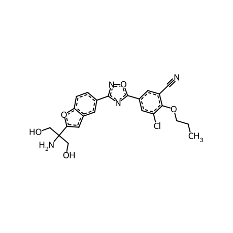 CCCOc1c(Cl)cc(-c2nc(-c3ccc4oc(C(N)(CO)CO)cc4c3)no2)cc1C#N